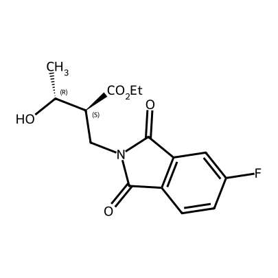 CCOC(=O)[C@@H](CN1C(=O)c2ccc(F)cc2C1=O)[C@@H](C)O